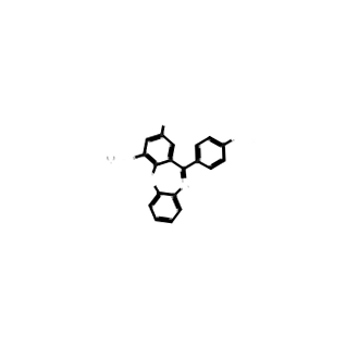 COc1cc(F)cc2c1Oc1ccccc1N=C2c1ccc(C)cc1